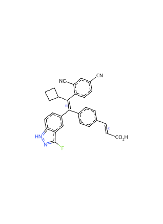 N#Cc1ccc(/C(=C(\c2ccc(/C=C/C(=O)O)cc2)c2ccc3[nH]nc(F)c3c2)C2CCC2)c(C#N)c1